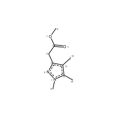 COC(=O)Cc1nn(C)c(C)c1I